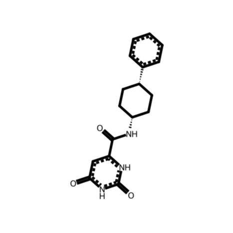 O=C(N[C@H]1CC[C@@H](c2ccccc2)CC1)c1cc(=O)[nH]c(=O)[nH]1